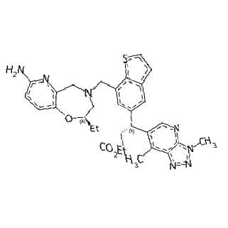 CCOC(=O)C[C@H](c1cc(CN2Cc3nc(N)ccc3O[C@H](CC)C2)c2sccc2c1)c1cnc2c(nnn2C)c1C